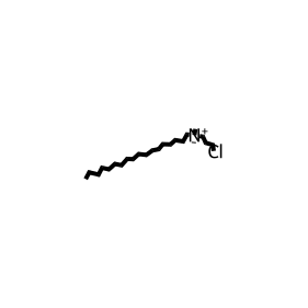 CCCCCCCCCCCCCCCCCC[N+](C)(C)CCCCl